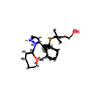 CC(C)(CCO)Sc1cccc(C#N)c1-c1ccnn1C1CCCCO1